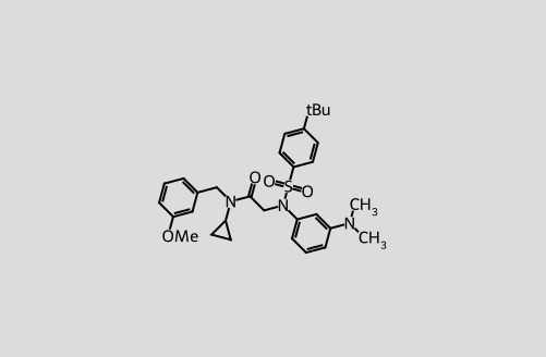 COc1cccc(CN(C(=O)CN(c2cccc(N(C)C)c2)S(=O)(=O)c2ccc(C(C)(C)C)cc2)C2CC2)c1